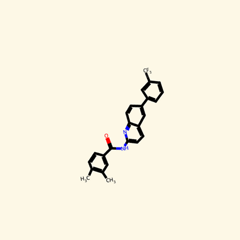 Cc1ccc(C(=O)Nc2ccc3cc(-c4cccc(C(F)(F)F)c4)ccc3n2)cc1C